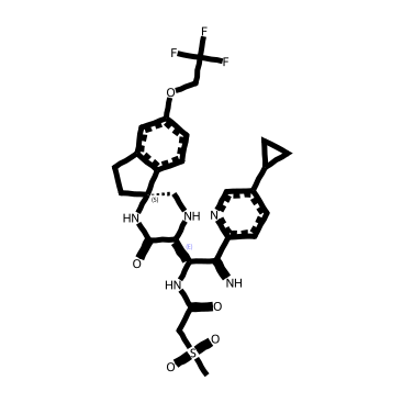 CS(=O)(=O)CC(=O)N/C(C(=N)c1ccc(C2CC2)cn1)=C1/NC[C@@]2(CCc3cc(OCC(F)(F)F)ccc32)NC1=O